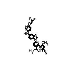 Cc1cc(C#N)nn1-c1nc(-n2cnc3cc(Nc4ccc(OCC(F)F)nn4)ccc32)ccc1C(C)O